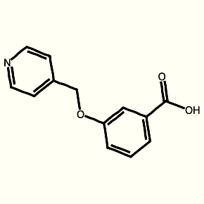 O=C(O)c1cccc(OCc2ccncc2)c1